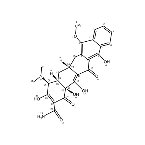 CCCOc1c2c(c(O)c3ccccc13)C(=O)C1=C(O)[C@]3(O)C(=O)C(C(N)=O)=C(O)[C@@H](N(C)C)[C@@H]3C[C@@H]1C2